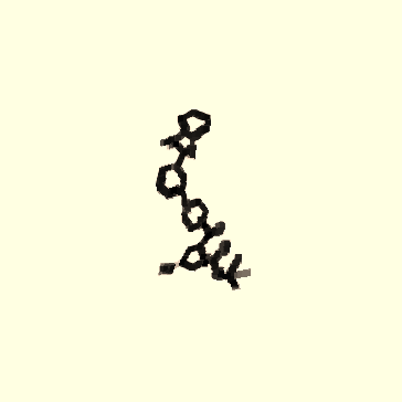 Cn1c(-c2cccc(N3CCN(C(=O)[C@@H]4C[C@@H](O)CN4C(=O)OC(C)(C)C)CC3)c2)nc2ccccc21